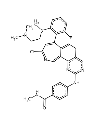 CNC(=O)c1ccc(Nc2ncc3c(n2)C2=CN=C(Cl)C=C(c4c(F)cccc4N(C)CCN(C)C)C2=CC3)cc1